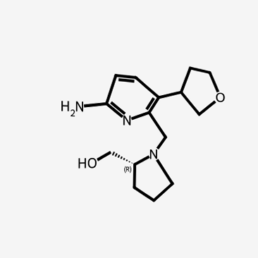 Nc1ccc(C2CCOC2)c(CN2CCC[C@@H]2CO)n1